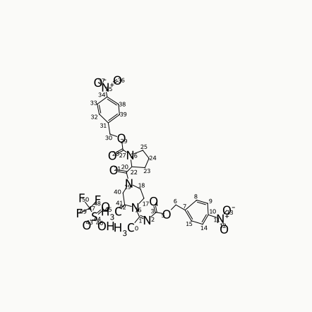 CC(=NC(=O)OCc1ccc([N+](=O)[O-])cc1)N1CCN(C(=O)C2CCCN2C(=O)OCc2ccc([N+](=O)[O-])cc2)C[C@@H]1C.O=S(=O)(O)C(F)(F)F